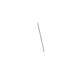 CCCCCCCCCCCCCCCCC[CH]CCCCCCCCCCCCCCCCCCCCCC